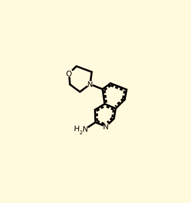 Nc1cc2c(N3CCOCC3)cccc2cn1